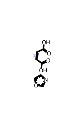 O=C(O)/C=C\C(=O)O.c1cocn1